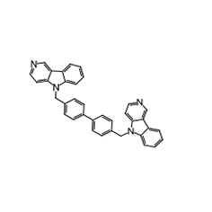 c1ccc2c(c1)c1cnccc1n2Cc1ccc(-c2ccc(Cn3c4ccccc4c4cnccc43)cc2)cc1